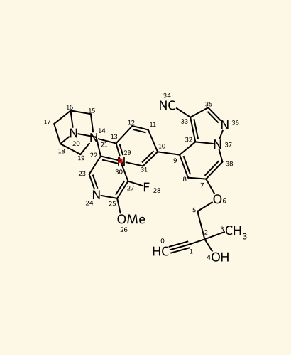 C#CC(C)(O)COc1cc(-c2ccc(N3CC4CC(C3)N4Cc3cnc(OC)c(F)c3)nc2)c2c(C#N)cnn2c1